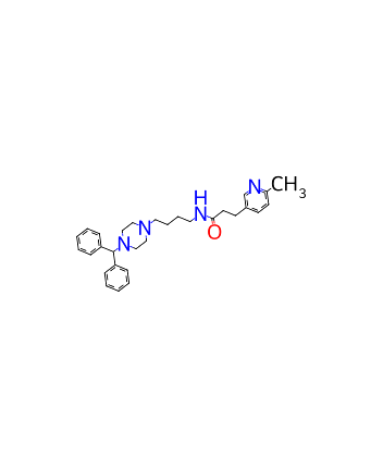 Cc1ccc(CCC(=O)NCCCCN2CCN(C(c3ccccc3)c3ccccc3)CC2)cn1